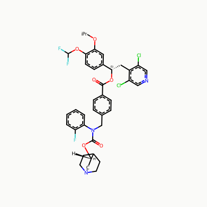 CC(C)Oc1cc([C@H](Cc2c(Cl)cncc2Cl)OC(=O)c2ccc(CN(C(=O)O[C@H]3CN4CCC3CC4)c3ccccc3F)cc2)ccc1OC(F)F